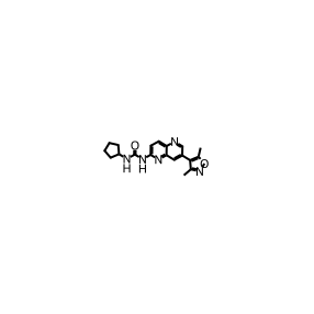 Cc1noc(C)c1-c1cnc2ccc(NC(=O)NC3CCCC3)nc2c1